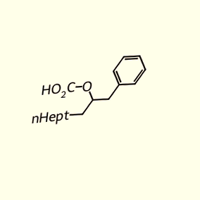 CCCCCCCCC(Cc1ccccc1)OC(=O)O